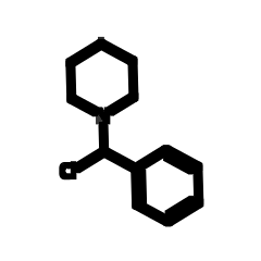 ClC(c1ccccc1)N1CC[CH]CC1